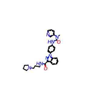 CN(C(=O)Nc1ccc(-n2nc(C(=O)NCCCN3CCCC3)c3ccccc32)cc1)c1cccnc1